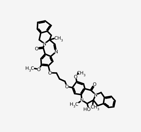 COc1cc2c(cc1OCCCOc1cc3c(cc1OC)C(=O)N1Cc4ccccc4CC1(C)C(O)N3C)N=CC1(C)Cc3ccccc3CN1C2=O